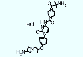 CC(CN1CC(N)C1)Oc1ccc(-n2ccc(NC(=O)N3CCN(C(=O)C(C)(C)N)CC3)nc2=O)cc1.Cl